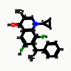 N#Cc1cn(C2CC2)c2c(F)c(C(C#N)c3ccccc3)c(F)cc2c1=O